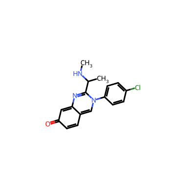 CNC(C)c1nc2cc(=O)ccc-2cn1-c1ccc(Cl)cc1